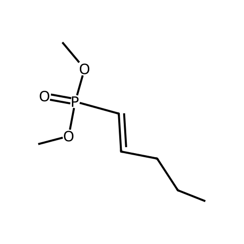 CCCC=CP(=O)(OC)OC